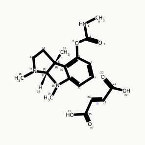 CNC(=O)Oc1cccc2c1[C@@]1(C)CCN(C)[C@H]1N2C.O=C(O)/C=C/C(=O)O